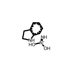 N=[N+](O)O.c1ccc2c(c1)CCN2